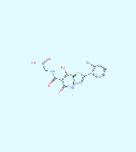 Cn1c(=O)c(C(=O)NCC(=O)O)c(O)c2sc(-c3ccccc3Cl)cc21